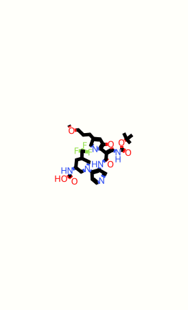 COCCCc1cnc2c(C(=O)Nc3cnccc3N3CC(NC(=O)O)CC(C(F)(F)F)C3)c(NC(=O)OC(C)(C)C)oc2c1